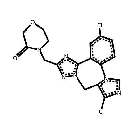 O=C1COCCN1Cc1nc2n(n1)Cc1c(Cl)ncn1-c1ccc(Cl)cc1-2